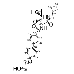 O=C(NC(C(=O)NO)C(=O)NCC1CCC1)c1ccc(-c2ccc(OCCO)cc2)cc1